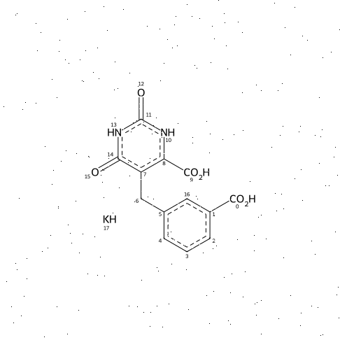 O=C(O)c1cccc(Cc2c(C(=O)O)[nH]c(=O)[nH]c2=O)c1.[KH]